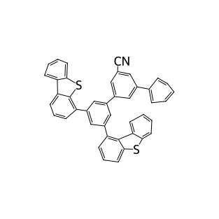 N#Cc1cc(-c2ccccc2)cc(-c2cc(-c3cccc4c3sc3ccccc34)cc(-c3cccc4sc5ccccc5c34)c2)c1